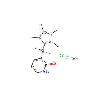 CC1=C(C)C(C)C([Si](C)(C)c2ccc[nH]c2=O)=C1C.[Cl-].[Cl-].[Cr+2]